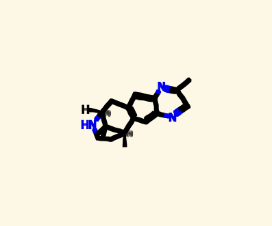 Cc1cnc2cc3c(cc2n1)C[C@H]1NCC[C@]3(C)C1(C)C